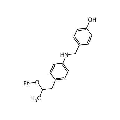 CCOC(C)Cc1ccc(NCc2ccc(O)cc2)cc1